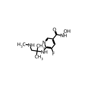 CNCC(C)(C)Nc1ncc(C(=O)NO)cc1F